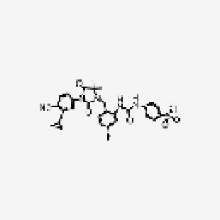 CC1(C)C(=O)N(c2ccc(C#N)c(C3CC3)c2)C(=O)N1Cc1ccc(F)cc1NC(=O)Nc1ccc(S(=O)(=O)Cl)cc1